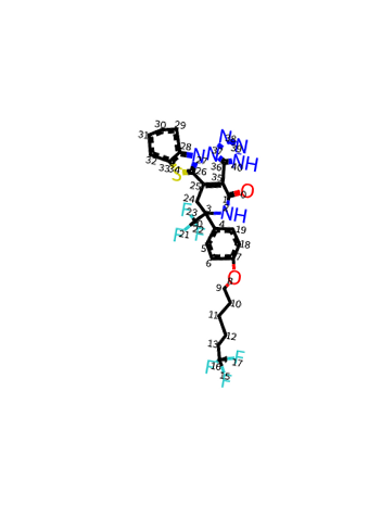 O=C1NC(c2ccc(OCCCCCC(F)(F)F)cc2)(C(F)(F)F)CC(c2nc3ccccc3s2)=C1c1nnn[nH]1